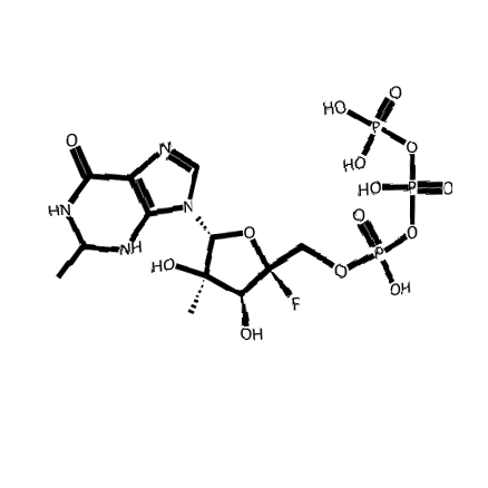 CC1NC(=O)c2ncn([C@@H]3O[C@](F)(COP(=O)(O)OP(=O)(O)OP(=O)(O)O)[C@@H](O)[C@@]3(C)O)c2N1